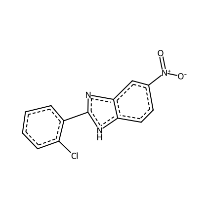 O=[N+]([O-])c1ccc2[nH]c(-c3ccccc3Cl)nc2c1